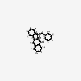 c1ccc(Cn2c3ccccc3c3cc4ccccc4cc32)cc1